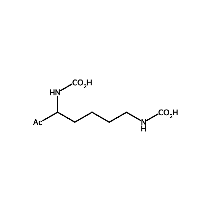 CC(=O)C(CCCCNC(=O)O)NC(=O)O